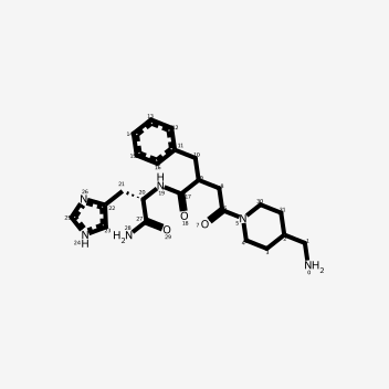 NCC1CCN(C(=O)CC(Cc2ccccc2)C(=O)N[C@@H](Cc2c[nH]cn2)C(N)=O)CC1